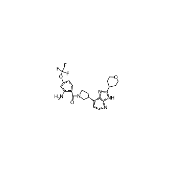 Nc1cc(OC(F)(F)F)ccc1C(=O)N1CC[C@@H](c2ccnc3[nH]c(C4CCOCC4)nc23)C1